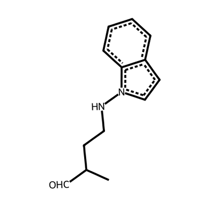 CC(C=O)CCNn1ccc2ccccc21